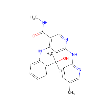 CNC(=O)c1cnc(Nc2ccc(C)cn2)cc1Nc1ccccc1C(C)(C)O